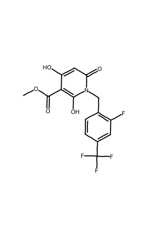 COC(=O)c1c(O)cc(=O)n(Cc2ccc(C(F)(F)F)cc2F)c1O